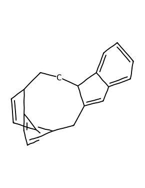 C1=CC2CCC3C(=Cc4ccccc43)Cc3cccc2c31